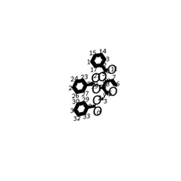 O=C(OC[C@H]1OC=C[C@@H](OC(=O)c2ccccc2)[C@@H]1OC(=O)c1ccccc1)c1ccccc1